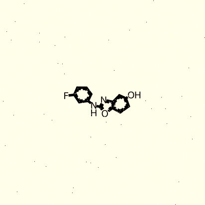 Oc1ccc2oc(Nc3cccc(F)c3)nc2c1